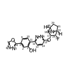 Oc1cc(-c2nnco2)ccc1-c1ccc(O[C@H]2C[C@@H]3CC[C@@H](N3)[C@H]2F)nn1